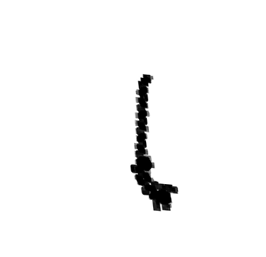 COc1ccc(Br)c2[nH]cc(C(=O)C(=O)N3CCN(C(=O)c4cccc(OCCOCCOCCOCCOCCOCCN=[N+]=[N-])c4)CC3)c12